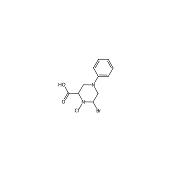 O=C(O)C1CN(c2ccccc2)CC(Br)N1Cl